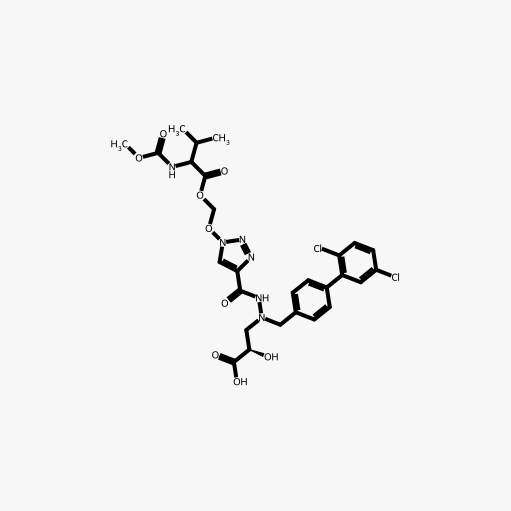 COC(=O)NC(C(=O)OCOn1cc(C(=O)NN(Cc2ccc(-c3cc(Cl)ccc3Cl)cc2)C[C@@H](O)C(=O)O)nn1)C(C)C